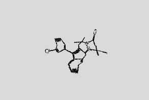 CC1(C)CC(=O)N2N1C1C(=C(c3cccc(Cl)c3)c3ccccc31)C2(C)C